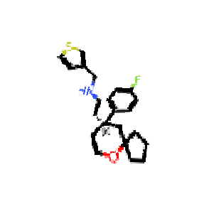 Fc1ccc([C@]2(CCNCc3ccsc3)CCOC3(CCCC3)C2)cc1